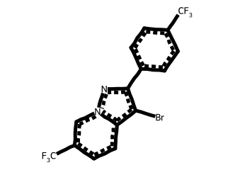 FC(F)(F)c1ccc(-c2nn3cc(C(F)(F)F)ccc3c2Br)cc1